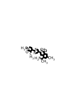 Cc1cc([C@@H](C)N)c2cc(-c3cnc(-c4ccn(C)c(=O)c4C)nc3)n(C)c(=O)c2c1